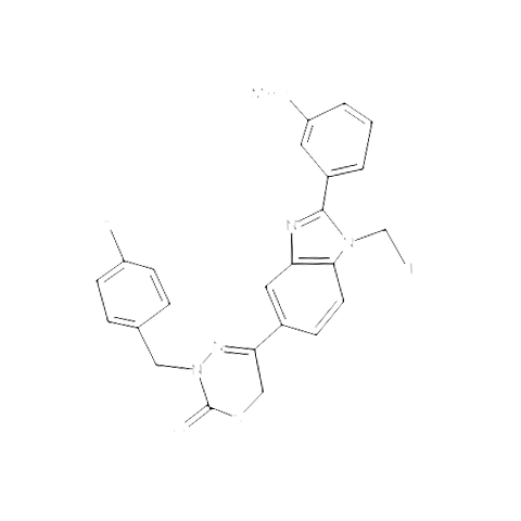 COc1cccc(-c2nc3cc(C4=NN(Cc5ccc(F)cc5)C(=O)SC4)ccc3n2CC(C)C)c1